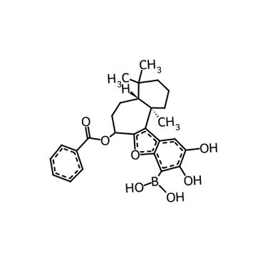 CC1(C)CCC[C@@]2(C)c3c(oc4c(B(O)O)c(O)c(O)cc34)C(OC(=O)c3ccccc3)CC[C@H]12